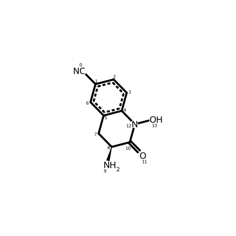 N#Cc1ccc2c(c1)C[C@H](N)C(=O)N2O